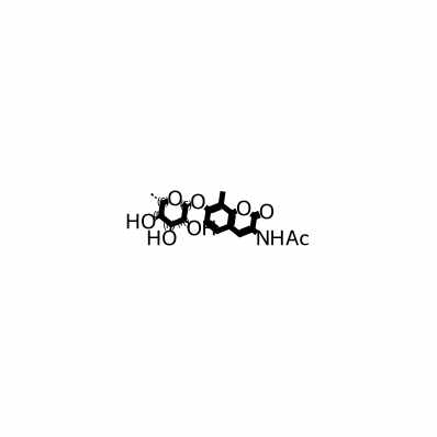 CC(=O)Nc1cc2ccc(O[C@@H]3O[C@@H](C)[C@H](O)[C@@H](O)[C@H]3O)c(C)c2oc1=O